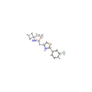 O=C(Cc1csc(-c2cccc(Cl)c2)n1)NC1(C(=O)O)CCC1